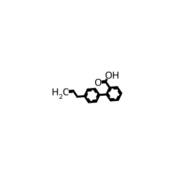 C=CCc1ccc(-c2ccccc2C(=O)O)cc1